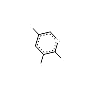 Oc1cnc(Br)c(O)c1